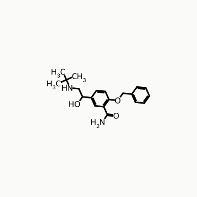 CC(C)(C)NCC(O)c1ccc(OCc2ccccc2)c(C(N)=O)c1